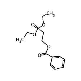 CCOP(=O)(CCOC(=O)c1ccccc1)OCC